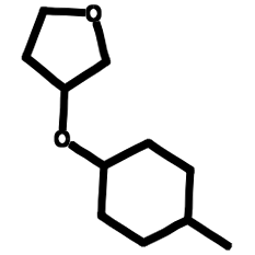 CC1CCC(OC2CCOC2)CC1